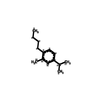 CCCCc1ccc(N(C)C)nc1C